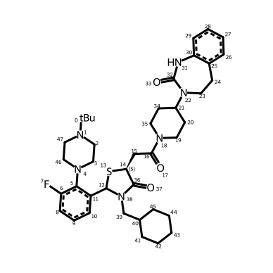 CC(C)(C)N1CCN(c2c(F)cccc2C2S[C@@H](CC(=O)N3CCC(N4CCc5ccccc5NC4=O)CC3)C(=O)N2CC2CCCCC2)CC1